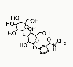 CNC(=O)c1cccc(O[C@H]2O[C@H](CO)[C@@H](O)[C@H](C[C@H]3O[C@H](CO)[C@@H](O)[C@H](O)[C@@H]3O)[C@@H]2O)c1